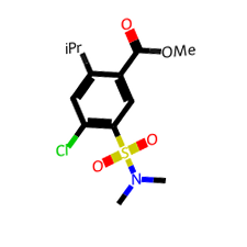 COC(=O)c1cc(S(=O)(=O)N(C)C)c(Cl)cc1C(C)C